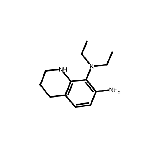 CCN(CC)c1c(N)ccc2c1NCCC2